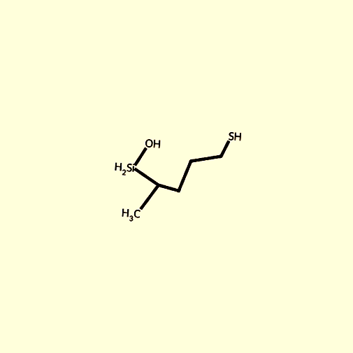 CC(CCCS)[SiH2]O